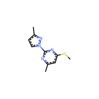 CSc1cc(C)nc(-n2ccc(C)n2)n1